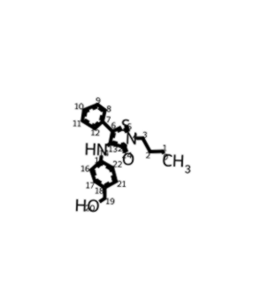 CCCCn1sc(-c2ccccc2)c(Nc2ccc(CO)cc2)c1=O